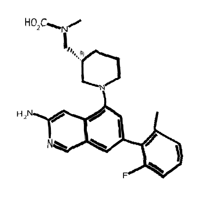 Cc1cccc(F)c1-c1cc(N2CCC[C@@H](CN(C)C(=O)O)C2)c2cc(N)ncc2c1